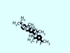 COc1nc2nc(C)nc(N[C@H](C)c3cccc(C(C)F)c3F)c2cc1CN1CCN(C(C)C)CC1